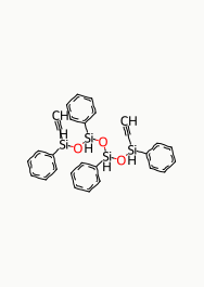 C#C[SiH](O[SiH](O[SiH](O[SiH](C#C)c1ccccc1)c1ccccc1)c1ccccc1)c1ccccc1